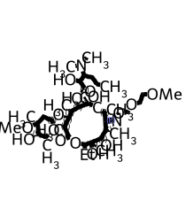 CCC1OC(=O)[C@H](C)[C@@H](O[C@H]2CC(C)(OC)[C@@H](O)C(C)O2)[C@H](C)[C@@H](O[C@@H]2OC(C)CC(N(C)C)C2O)[C@](C)(O)C[C@@H](C)/C(=N\OCOCCOC)[C@H](C)[C@@H](O)[C@]1(C)O